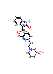 O=C1Nc2ccc(F)cc2C1=C1OCc2nc(CCN3CCCC(O)C3)ccc21